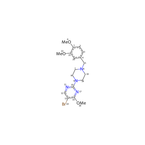 COc1ccc(CN2CCN(c3ncc(Br)c(OC)n3)CC2)cc1OC